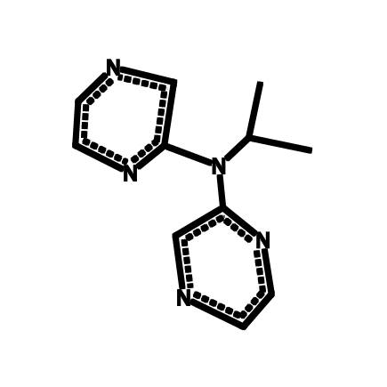 CC(C)N(c1cnccn1)c1cnccn1